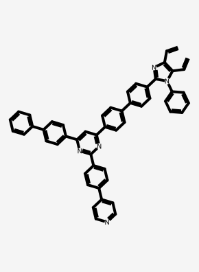 C=Cc1nc(-c2ccc(-c3ccc(-c4cc(-c5ccc(-c6ccccc6)cc5)nc(-c5ccc(-c6ccncc6)cc5)n4)cc3)cc2)n(-c2ccccc2)c1C=C